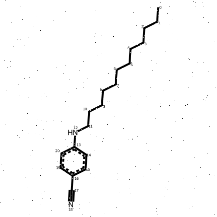 CCCCCCCCCCCCNc1ccc(C#N)cc1